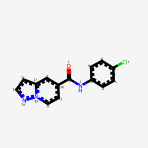 O=C(Nc1ccc(Cl)cc1)c1ccn2nccc2c1